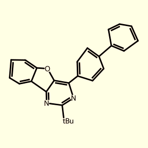 CC(C)(C)c1nc(-c2ccc(-c3ccccc3)cc2)c2oc3ccccc3c2n1